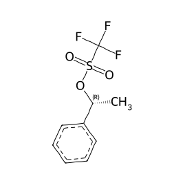 C[C@@H](OS(=O)(=O)C(F)(F)F)c1ccccc1